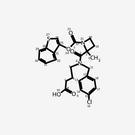 CC1(C(=O)N(CCCC(=O)O)Cc2ccc(Cl)cc2)CCN1C(=O)Oc1csc2ccccc12